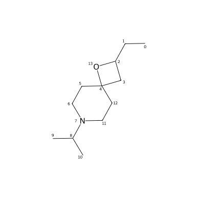 CCC1CC2(CCN(C(C)C)CC2)O1